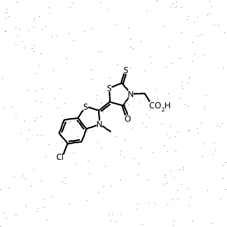 CN1C(=C2SC(=S)N(CC(=O)O)C2=O)Sc2ccc(Cl)cc21